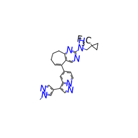 Cn1cc(-c2cnn3ccc(C4=CCCCc5nc(NCC6(C(F)(F)F)CC6)ncc54)cc23)cn1